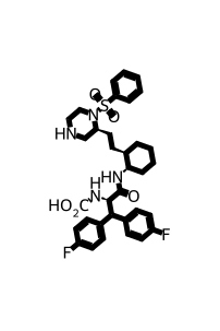 O=C(O)N[C@H](C(=O)N[C@H]1CCCC[C@@H]1CC[C@H]1CNCCN1S(=O)(=O)c1ccccc1)C(c1ccc(F)cc1)c1ccc(F)cc1